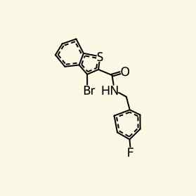 O=C(NCc1ccc(F)cc1)c1sc2ccccc2c1Br